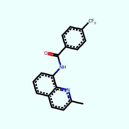 Cc1ccc2cccc(NC(=O)c3ccc(C(F)(F)F)cc3)c2n1